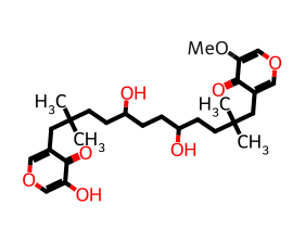 COc1cocc(CC(C)(C)CCC(O)CCC(O)CCC(C)(C)Cc2cocc(O)c2=O)c1=O